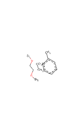 CC(=O)O.CCOCCOC(C)C.Cc1ccccc1